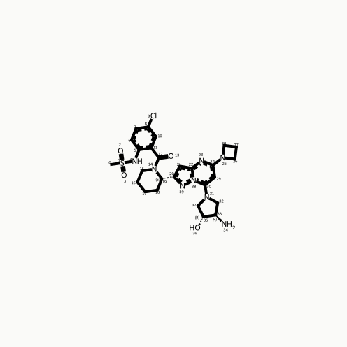 CS(=O)(=O)Nc1ccc(Cl)cc1C(=O)N1CCCC[C@H]1c1cc2nc(N3CCC3)cc(N3C[C@@H](N)[C@H](O)C3)n2n1